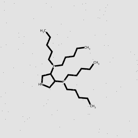 CCCCCP(CCCCC)C1CNCC1P(CCCCC)CCCCC